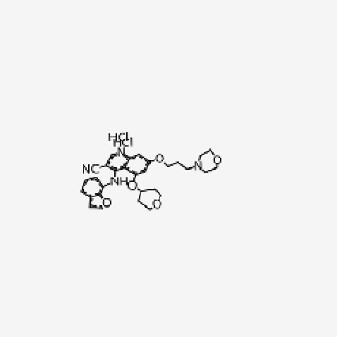 Cl.Cl.N#Cc1cnc2cc(OCCCN3CCOCC3)cc(OC3CCOCC3)c2c1Nc1cccc2ccoc12